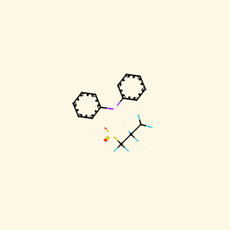 O=S(=O)([O-])C(F)(F)C(F)(F)C(F)F.c1ccc([I+]c2ccccc2)cc1